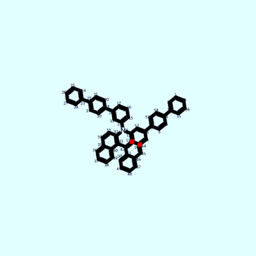 c1ccc(-c2ccc(-c3cccc(N(c4cccc(-c5ccc(-c6ccccc6)cc5)c4)c4ccc5ccccc5c4-c4cccc5ccccc45)c3)cc2)cc1